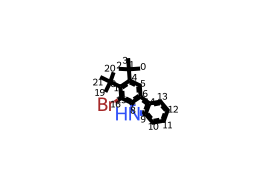 CC(C)(C)c1cc2c([nH]c3ccccc32)c(Br)c1C(C)(C)C